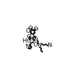 CCCCN(CCCCN(C)C)C(=O)CN1C[C@H](c2cc(OC)c3c(c2)OCO3)[C@@H](C(=O)O)[C@@H]1CCc1cccn1C